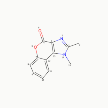 Cc1nc2c(=O)oc3ccccc3c2n1C